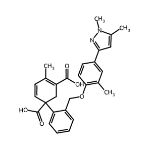 CC1=C(C(=O)O)CC(C(=O)O)(c2ccccc2COc2ccc(-c3cc(C)n(C)n3)cc2C)C=C1